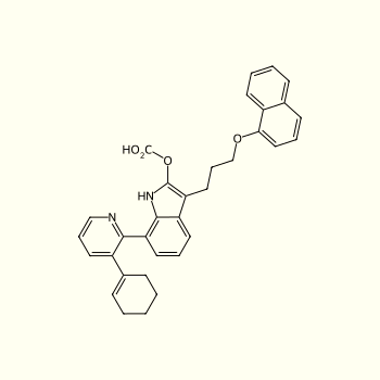 O=C(O)Oc1[nH]c2c(-c3ncccc3C3=CCCCC3)cccc2c1CCCOc1cccc2ccccc12